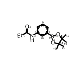 CCC(=O)Nc1cccc(B2OC(C)(C)C(C)(C)O2)c1